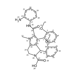 COc1ccccc1-c1c2c(n(C)c1C(=O)Nc1ccccc1N)CCN(C(=O)O)C2c1ccccc1OC